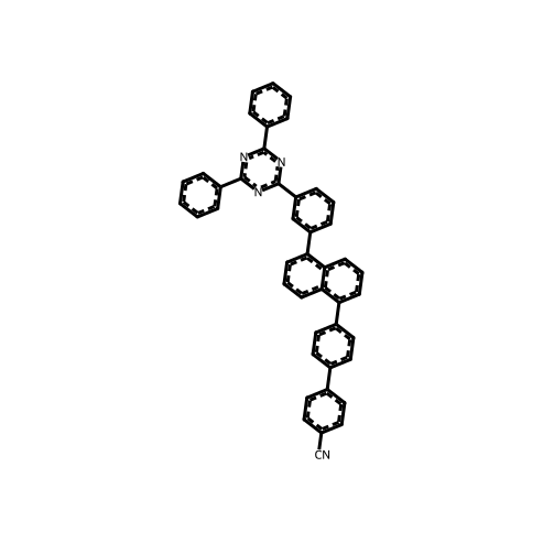 N#Cc1ccc(-c2ccc(-c3cccc4c(-c5cccc(-c6nc(-c7ccccc7)nc(-c7ccccc7)n6)c5)cccc34)cc2)cc1